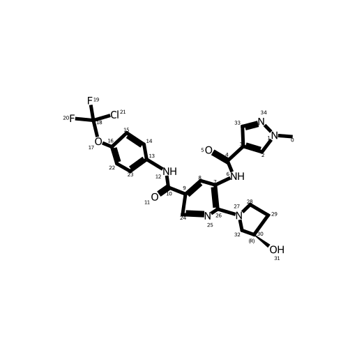 Cn1cc(C(=O)Nc2cc(C(=O)Nc3ccc(OC(F)(F)Cl)cc3)cnc2N2CC[C@@H](O)C2)cn1